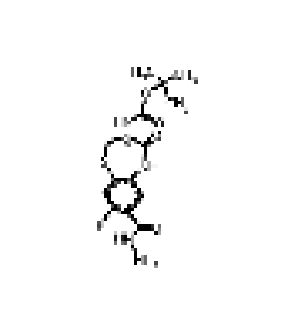 CC(C)(C)OC(=O)N[C@H]1CSc2cc(F)c(C(=O)NN)cc2NC1=O